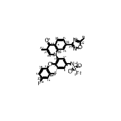 CCS(=O)(=O)Nc1ccc(Oc2ccc(F)cc2F)c(-n2cc(C)c(=O)c3ccc(-c4noc(C)n4)cc32)c1